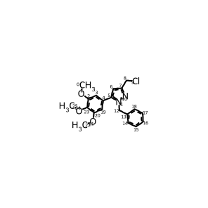 COc1cc(-c2cc(CCl)nn2Cc2ccccc2)cc(OC)c1OC